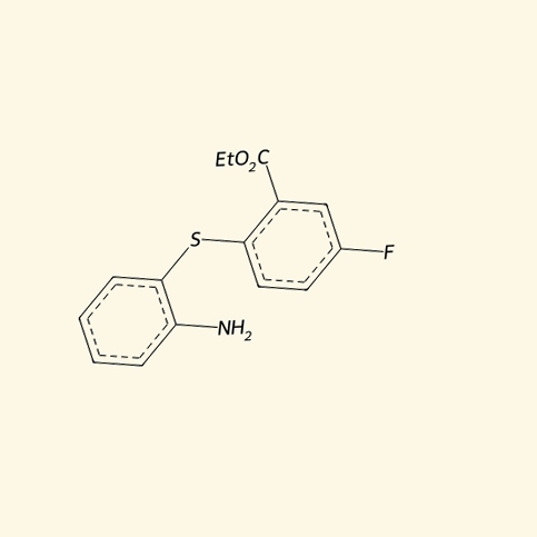 CCOC(=O)c1cc(F)ccc1Sc1ccccc1N